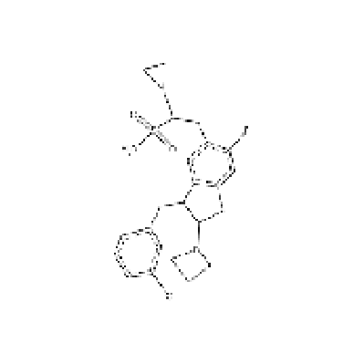 NS(=O)(=O)C(Cc1cc2c(cc1F)CC(N1CCC1)C2Cc1cccc(Cl)c1)C1CC1